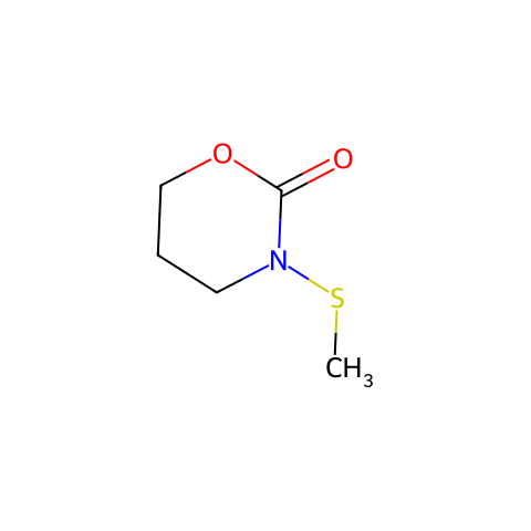 CSN1CCCOC1=O